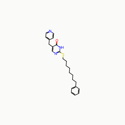 O=c1[nH]c(SCCCCCCCCc2ccccc2)ncc1Cc1ccncc1